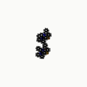 c1ccc2cc(N3c4ccc5ccccc5c4B4c5c(cc6sc7ccccc7c6c53)-c3cc(-c5ccc6ccc(N7c8cc9ccccc9cc8B8c9c(cc%10sc%11ccccc%11c%10c97)-c7cccc9c%10ccccc%10n8c79)cc6c5)cc5c6ccccc6n4c35)ccc2c1